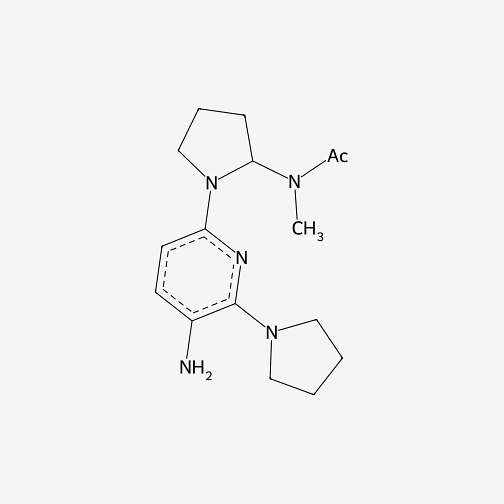 CC(=O)N(C)C1CCCN1c1ccc(N)c(N2CCCC2)n1